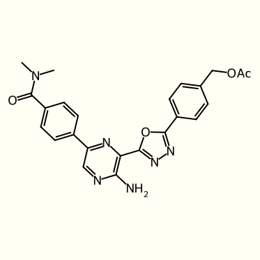 CC(=O)OCc1ccc(-c2nnc(-c3nc(-c4ccc(C(=O)N(C)C)cc4)cnc3N)o2)cc1